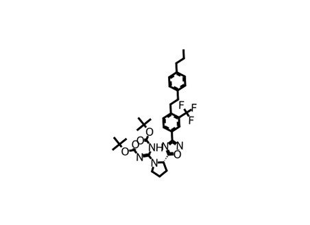 CCCc1ccc(CCc2ccc(-c3noc([C@@H]4CCCN4/C(=N/C(=O)OC(C)(C)C)NC(=O)OC(C)(C)C)n3)cc2C(F)(F)F)cc1